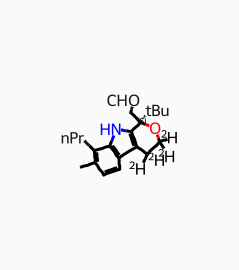 [2H]C1([2H])O[C@@](CC=O)(C(C)(C)C)c2[nH]c3c(CCC)c(C)ccc3c2C1([2H])[2H]